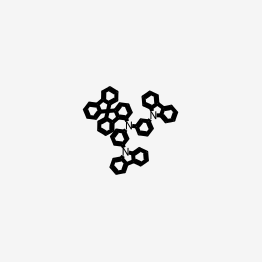 c1cc(N(c2cccc(-n3c4ccccc4c4ccccc43)c2)c2cccc3c2-c2ccccc2C32c3ccccc3-c3ccccc32)cc(-n2c3ccccc3c3ccccc32)c1